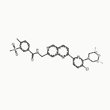 Cc1ccc(C(=O)NCc2cc3nc(-c4ccc(Cl)c(N5C[C@@H](C)O[C@@H](C)C5)n4)ccc3cn2)cc1S(C)(=O)=O